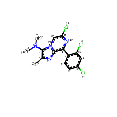 CCCN(CCC)c1c(CC)nc2c(-c3ccc(Cl)cc3Cl)nc(Cl)cn12